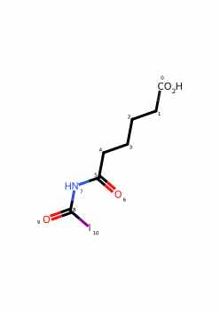 O=C(O)CCCCC(=O)NC(=O)I